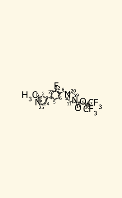 Cc1cc(-c2ccc(CN3CCN(C(=O)OC(C(F)(F)F)C(F)(F)F)CC3)c(F)c2)ccn1